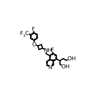 OCCC(CO)c1cc(F)c(CNC2CC(Oc3ccc(F)c(C(F)(F)F)c3)C2)c2ccncc12